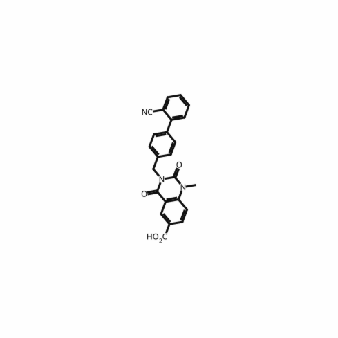 Cn1c(=O)n(Cc2ccc(-c3ccccc3C#N)cc2)c(=O)c2cc(C(=O)O)ccc21